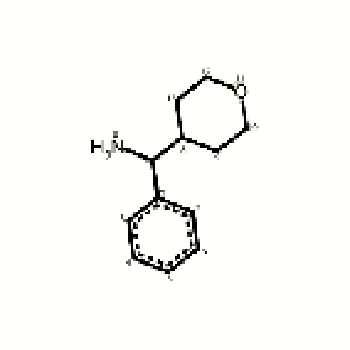 NC(c1ccccc1)C1CCOCC1